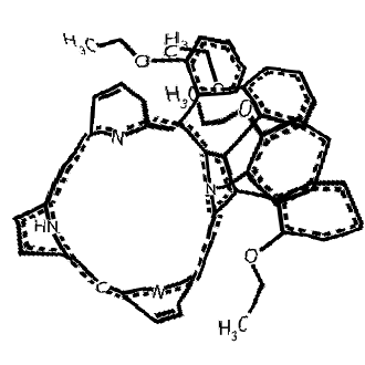 CCOc1ccccc1-c1c(-c2ccccc2OCC)c2c(-c3ccccc3OCC)c3nc(cc4ccc(cc5nc(cc1n2-c1ccccc1OCC)C=C5)[nH]4)C=C3